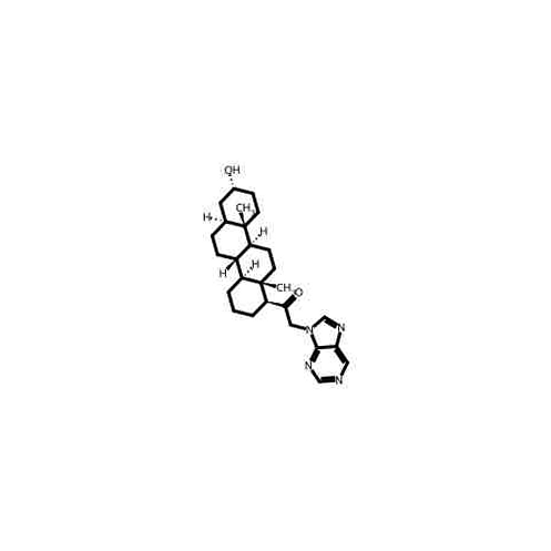 C[C@]12CC[C@@H](O)C[C@@H]1CC[C@@H]1[C@@H]2CC[C@]2(C)[C@@H](C(=O)Cn3cnc4cncnc43)CCC[C@@H]12